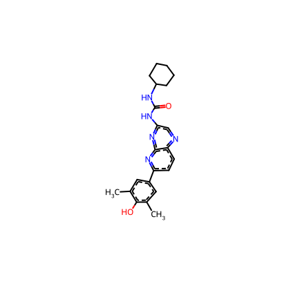 Cc1cc(-c2ccc3ncc(NC(=O)NC4CCCCC4)nc3n2)cc(C)c1O